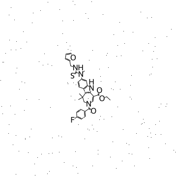 CCOC(=O)C1=CN(C(=O)c2ccc(F)cc2)CC(C)(C)c2c1[nH]c1cc(N(C)C(=S)NCc3ccco3)ccc21